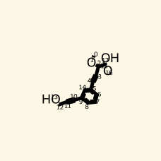 COC(C#Cc1cccc(C#CCO)c1)C(=O)O